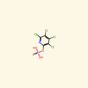 OP(O)(=S)Oc1nc(Cl)c(Cl)c(Cl)c1Cl